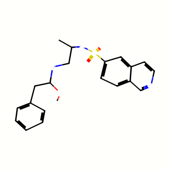 COC(Cc1ccccc1)NCC(C)NS(=O)(=O)c1ccc2cnccc2c1